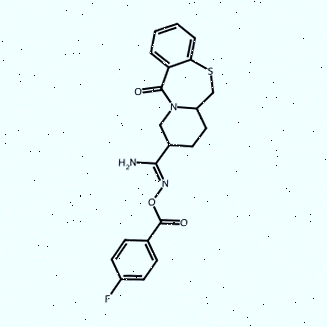 N/C(=N\OC(=O)c1ccc(F)cc1)C1CCC2CSc3ccccc3C(=O)N2C1